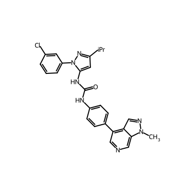 CC(C)c1cc(NC(=O)Nc2ccc(-c3cncc4c3cnn4C)cc2)n(-c2cccc(Cl)c2)n1